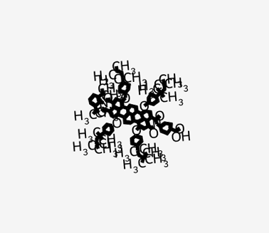 C=C(C)CC(C)(C)c1ccc(Oc2cc3c4c(cc(Oc5ccc(C(C)(C)CC(C)(C)C)cc5)c5c6ccc7c8c(Oc9ccc(C(C)(C)CC(C)(C)C)cc9)cc9c%10c(cc(Oc%11ccc(C(C)(C)CC(C)(C)C)cc%11)c(c%11ccc(c2c45)c6c%117)c%108)C(=O)N(c2ccc(C(=O)O)cc2)C9=O)C(=O)N(c2c(C(C)C)cccc2C(C)C)C3=O)cc1